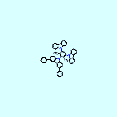 N#Cc1c(-n2c3ccccc3c3ccccc32)cc(-n2c3ccccc3c3ccccc32)c(C#N)c1-n1c2ccc(-c3ccccc3)cc2c2cc(-c3ccccc3)ccc21